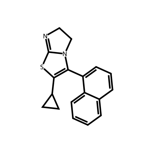 c1ccc2c(C3=C(C4CC4)SC4=NCCN43)cccc2c1